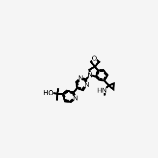 CNC1(c2ccc3c(c2)N(c2ncc(-c4cc(C(C)(C)O)ccn4)cn2)CC32COC2)CC1